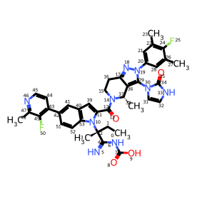 CC[C@](C)(C(=N)NC(=O)O)n1c(C(=O)N2CCc3nn(-c4cc(C)c(F)c(C)c4)c(-n4cc[nH]c4=O)c3[C@@H]2C)cc2cc(-c3ccnc(C)c3F)ccc21